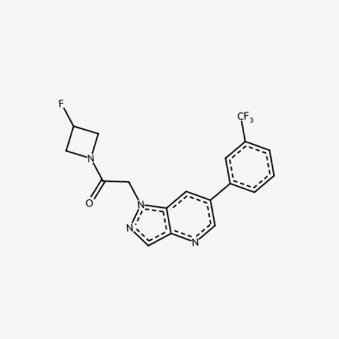 O=C(Cn1ncc2ncc(-c3cccc(C(F)(F)F)c3)cc21)N1CC(F)C1